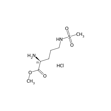 COC(=O)[C@@H](N)CCCNS(C)(=O)=O.Cl